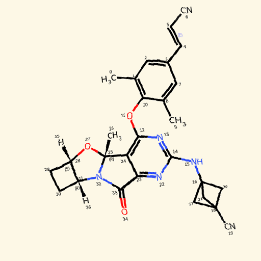 Cc1cc(/C=C/C#N)cc(C)c1Oc1nc(NC23CC(C#N)(C2)C3)nc2c1[C@@]1(C)O[C@H]3CC[C@H]3N1C2=O